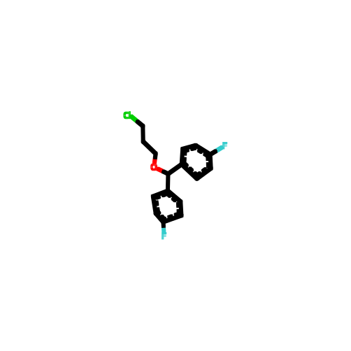 Fc1ccc(C(OCCCCl)c2ccc(F)cc2)cc1